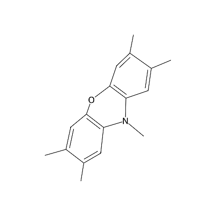 Cc1cc2c(cc1C)N(C)c1cc(C)c(C)cc1O2